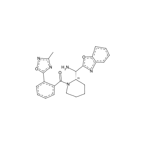 Cc1noc(-c2ccccc2C(=O)N2CCCC[C@H]2C(N)c2nc3ccccc3o2)n1